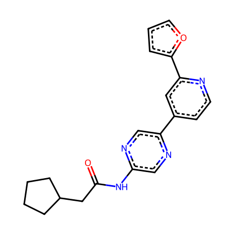 O=C(CC1CCCC1)Nc1cnc(-c2ccnc(-c3ccco3)c2)cn1